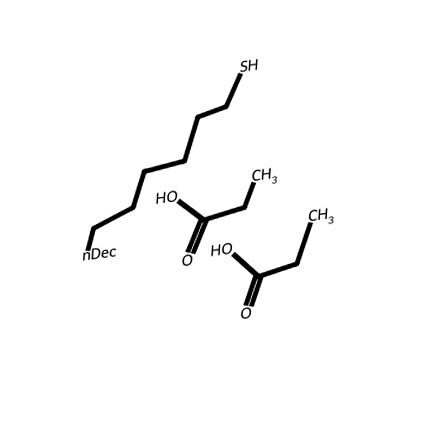 CCC(=O)O.CCC(=O)O.CCCCCCCCCCCCCCCCS